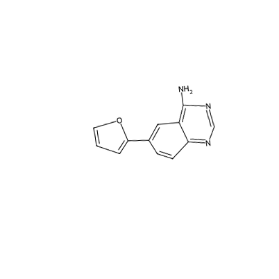 Nc1ncnc2ccc(-c3ccco3)cc12